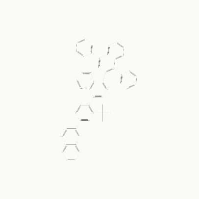 CC(C)(O)c1cc(-c2ccc3ccccc3c2)ccc1-c1ccc2c3c(cccc13)-c1c-2c(-c2ccccc2)c2ccccc2c1-c1ccccc1